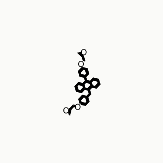 c1ccc2c(-c3ccc(OCC4CO4)cc3)c3ccccc3c(Cc3ccc(OCC4CO4)cc3)c2c1